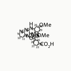 COc1cc(Nc2nc3ncccc3nc2NS(=O)(=O)c2cccc(C(=O)O)c2)cc(OC)c1